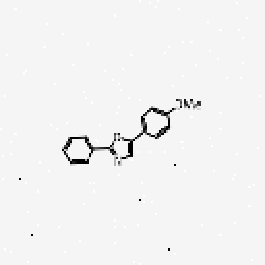 COc1ccc(-c2cnc(-c3ccccc3)o2)cc1